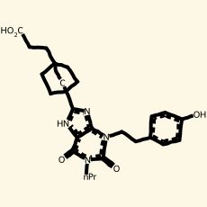 CCCn1c(=O)c2[nH]c(C34CCC(CCC(=O)O)(CC3)CC4)nc2n(CCc2ccc(O)cc2)c1=O